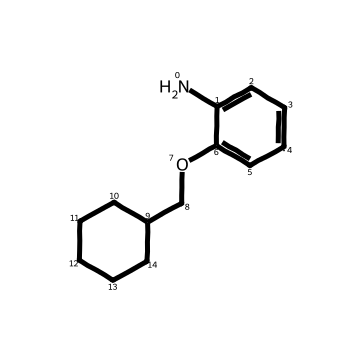 Nc1cc[c]cc1OCC1CCCCC1